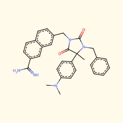 CN(C)c1ccc(C2(C)C(=O)N(Cc3ccc4ccc(C(=N)N)cc4c3)C(=O)N2Cc2ccccc2)cc1